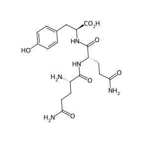 NC(=O)CC[C@H](NC(=O)[C@@H](N)CCC(N)=O)C(=O)N[C@@H](Cc1ccc(O)cc1)C(=O)O